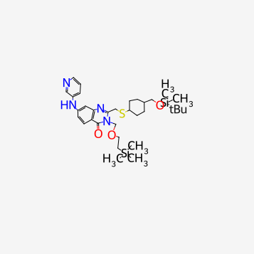 CC(C)(C)[Si](C)(C)OCC1CCC(SCc2nc3cc(Nc4cccnc4)ccc3c(=O)n2COCC[Si](C)(C)C)CC1